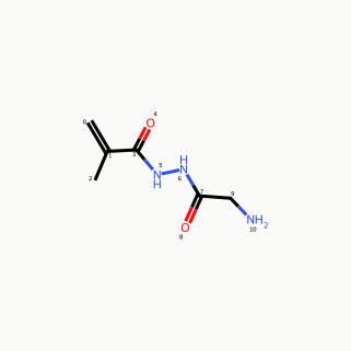 C=C(C)C(=O)NNC(=O)CN